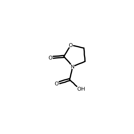 O=C(O)N1CCOC1=O